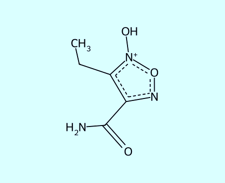 CCc1c(C(N)=O)no[n+]1O